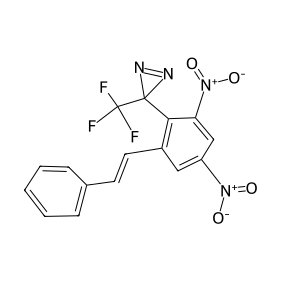 O=[N+]([O-])c1cc(/C=C/c2ccccc2)c(C2(C(F)(F)F)N=N2)c([N+](=O)[O-])c1